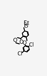 CCOCC1C=CC(COc2cc(Cl)ccc2Cl)=C(C2COCCO2)C1